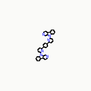 c1cc(-c2ccc(-c3cccc(-n4c5ccccc5c5ccncc54)n3)cc2)nc(-n2c3ccccc3c3ccncc32)c1